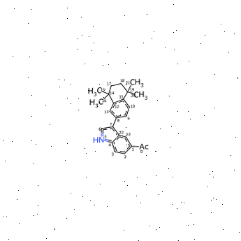 CC(=O)c1ccc2[nH]cc(-c3ccc4c(c3)C(C)(C)CCC4(C)C)c2c1